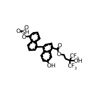 O=C(OCCC(O)(C(F)(F)F)C(F)(F)F)c1ccc(-c2cccc3c(O[SH](=O)=O)cccc23)c2ccc(O)cc12